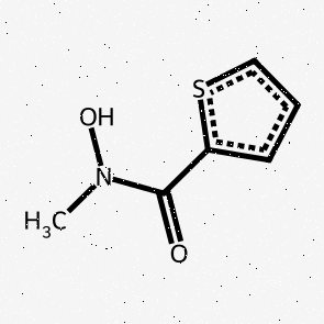 CN(O)C(=O)c1cccs1